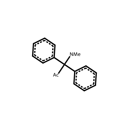 CNC(C(C)=O)(c1ccccc1)c1ccccc1